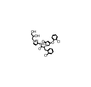 O=C(Nc1ccn(CC(O)CO)n1)C(Cc1ccccc1Cl)N1CC(Oc2ccccc2Cl)=CC1=O